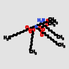 CCCCCCCCCCCC(=O)OCC(CN(CCCCC(N)C(=O)OC(C)(C)C)CC(COC(=O)CCCCCCCCCCC)OC(=O)CCCCCCCCCCC)OC(=O)CCCCCCCCCCC